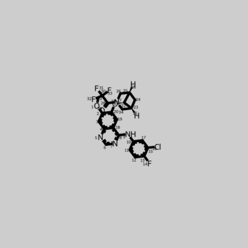 COc1cc2ncnc(Nc3ccc(F)c(Cl)c3)c2cc1O[C@H]1[C@@H]2C[C@H]1CN(C(=O)C(F)(F)F)C2